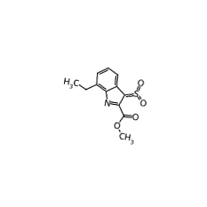 CCc1cccc2c1N=C(C(=O)OC)C2=S(=O)=O